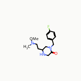 CON(C)CCC1CN(Cc2ccc(F)cc2)C(=O)CN1